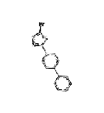 Brc1cnc(-c2ccc(-c3ccccc3)cc2)s1